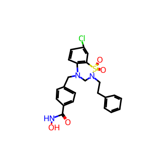 O=C(NO)c1ccc(CN2CN(CCc3ccccc3)S(=O)(=O)c3cc(Cl)ccc32)cc1